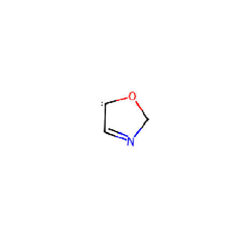 [C]1C=NCO1